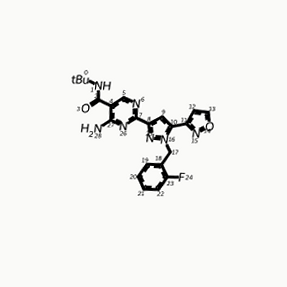 CC(C)(C)NC(=O)c1cnc(-c2cc(-c3ccon3)n(Cc3ccccc3F)n2)nc1N